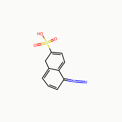 [N-]=[N+]=C1C=CC=C2CC(S(=O)(=O)O)=CC=C21